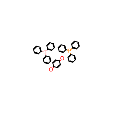 O=C1C=CC(=O)C=C1.c1ccc(B(c2ccccc2)c2ccccc2)cc1.c1ccc(P(c2ccccc2)c2ccccc2)cc1